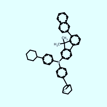 CC1(C)c2cc(N(c3ccc(C4CCCCC4)cc3)c3ccc(C4CC5CCC4CC5)cc3)ccc2-c2cccc(-c3ccc4ccccc4c3)c21